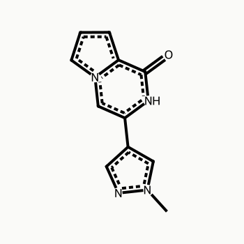 Cn1cc(-c2cn3cccc3c(=O)[nH]2)cn1